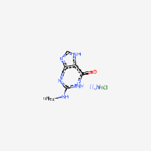 CCCCCCNc1nc2nc[nH]c2c(=O)[nH]1.Cl.N